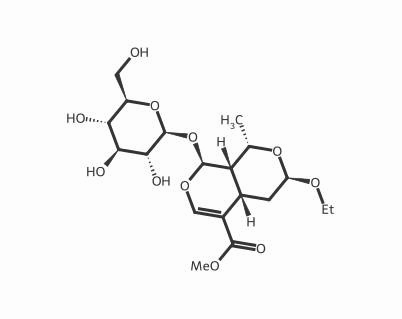 CCO[C@H]1C[C@@H]2C(C(=O)OC)=CO[C@@H](O[C@@H]3O[C@H](CO)[C@@H](O)[C@H](O)[C@H]3O)[C@@H]2[C@H](C)O1